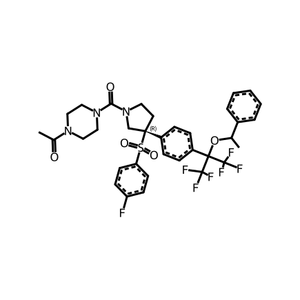 CC(=O)N1CCN(C(=O)N2CC[C@](c3ccc(C(OC(C)c4ccccc4)(C(F)(F)F)C(F)(F)F)cc3)(S(=O)(=O)c3ccc(F)cc3)C2)CC1